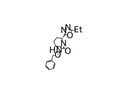 [CH2]Cc1nnc([C@@H]2CC[C@@H]3CN2C(=O)N3OCc2ccccc2)o1